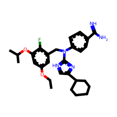 CCOc1cc(CN(c2ccc(C(=N)N)cc2)c2nc(C3CCCCC3)c[nH]2)c(F)c(OC(C)C)c1